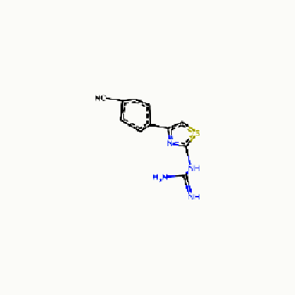 N#Cc1ccc(-c2csc(NC(=N)N)n2)cc1